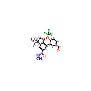 CNC(=O)c1cc(-c2cc(C=O)ccc2OC(F)(F)F)c2c(c1)C(C)(C)CO2